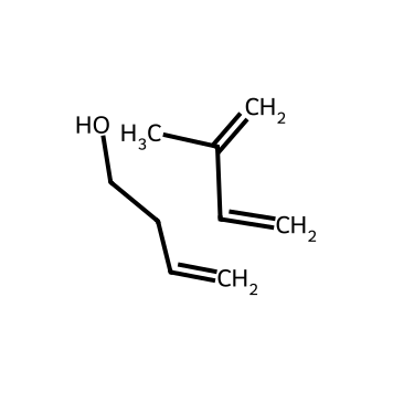 C=CC(=C)C.C=CCCO